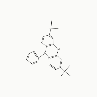 CC(C)(C)c1ccc2c(c1)Nc1cc(C(C)(C)C)ccc1N2c1ccccc1